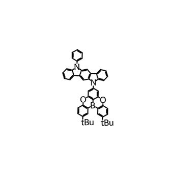 CC(C)(C)c1ccc2c(c1)B1c3cc(C(C)(C)C)ccc3Oc3cc(-n4c5ccccc5c5cc6c(cc54)c4ccccc4n6-c4ccccc4)cc(c31)O2